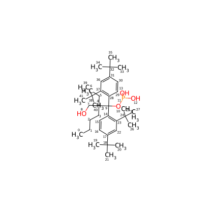 CCCCC(CC)(CO)C(OP(O)O)(c1ccc(C(C)(C)C)cc1C(C)(C)C)c1ccc(C(C)(C)C)cc1C(C)(C)C